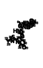 C=C[C@@H]1C[C@]1(NC(=O)[C@@H]1C[C@@H](Oc2cc(-c3nc(C(C)C)cs3)nc3c(C)c(OC)ccc23)CN1)C(=O)NS(=O)(=O)C1(C)CC1